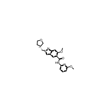 COc1cccc(NC(=O)c2cc3cn(C[C@@H]4CCOC4)nc3cc2OC)n1